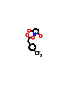 O=C(Cc1ccc(C(F)(F)F)cc1)ON1C(=O)C=CC1=O